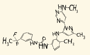 CNc1cc(-n2nc(C)cc2Nc2cc(NC(=O)Nc3cccc(C(C)(F)F)c3)ccc2C)ncn1